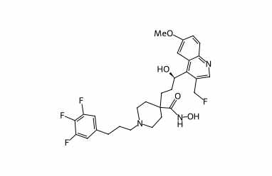 COc1ccc2ncc(CF)c([C@H](O)CCC3(C(=O)NO)CCN(CCCc4cc(F)c(F)c(F)c4)CC3)c2c1